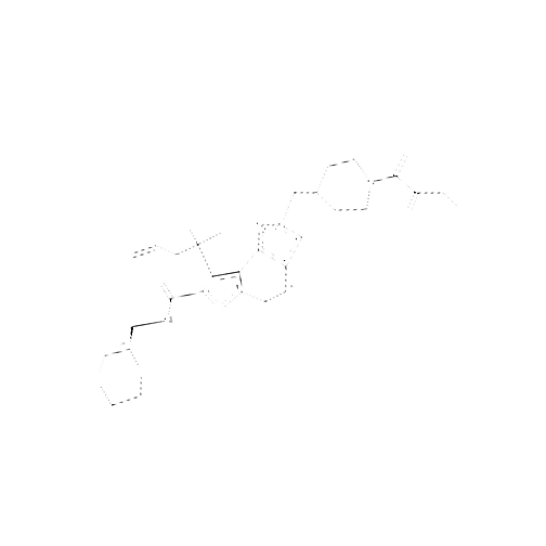 C=CCC(C)(F)c1c(C(=O)NC[C@@H]2COCCO2)oc2c1-c1nn(CC3CCN(C(=O)C(=O)CC)CC3)cc1[C@H](C)C2